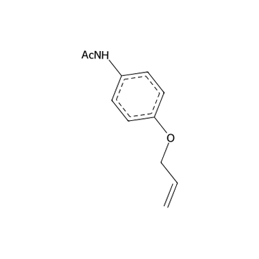 C=CCOc1ccc(NC(C)=O)cc1